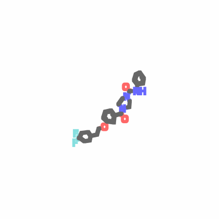 O=C(Nc1ccccc1)N1CCN(C(=O)c2cccc(OCCC3CCC(F)(F)CC3)c2)CC1